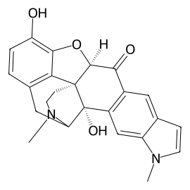 CN1CC[C@]23c4c5ccc(O)c4O[C@H]2C(=O)c2cc4ccn(C)c4cc2[C@@]3(O)C1C5